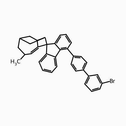 CC1C=C2C3CC(C1)CC3C21c2ccccc2-c2c(-c3ccc(-c4cccc(Br)c4)cc3)cccc21